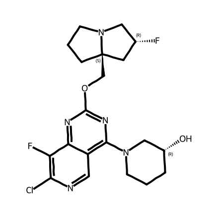 O[C@@H]1CCCN(c2nc(OC[C@@]34CCCN3C[C@H](F)C4)nc3c(F)c(Cl)ncc23)C1